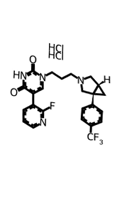 Cl.Cl.O=c1[nH]c(=O)n(CCCN2C[C@@H]3C[C@]3(c3ccc(C(F)(F)F)cc3)C2)cc1-c1cccnc1F